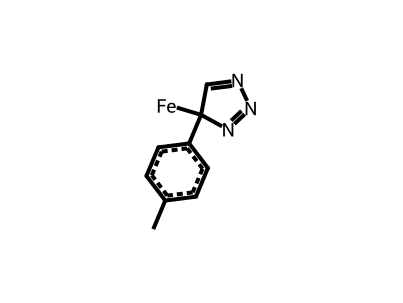 Cc1ccc([C]2([Fe])C=NN=N2)cc1